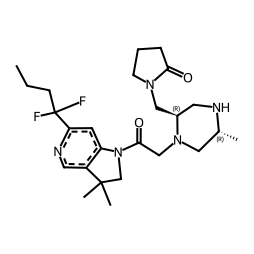 CCCC(F)(F)c1cc2c(cn1)C(C)(C)CN2C(=O)CN1C[C@@H](C)NC[C@@H]1CN1CCCC1=O